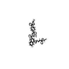 CCOC(=O)C=CCOc1cc(C(=O)NCC(=O)N2CCN(C(=O)OCC)CC2)nc2ccccc12